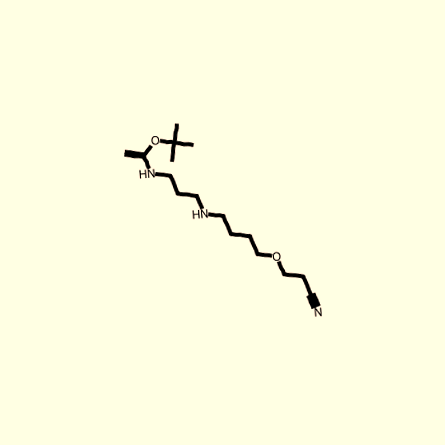 C=C(NCCCNCCCCOCCC#N)OC(C)(C)C